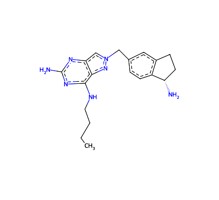 CCCCNc1nc(N)nc2cn(Cc3ccc4c(c3)CC[C@@H]4N)nc12